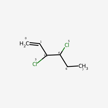 C=C[C](Cl)C(Cl)CC